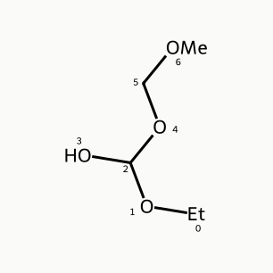 CCOC(O)OCOC